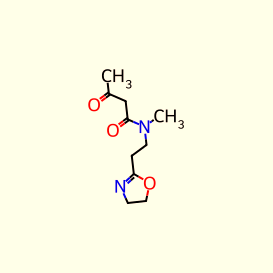 CC(=O)CC(=O)N(C)CCC1=NCCO1